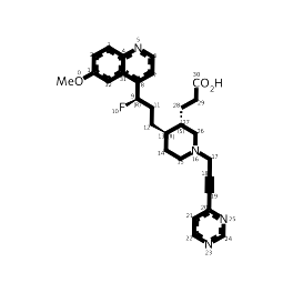 COc1ccc2nccc([C@H](F)CC[C@@H]3CCN(CC#Cc4ccncn4)C[C@H]3CCC(=O)O)c2c1